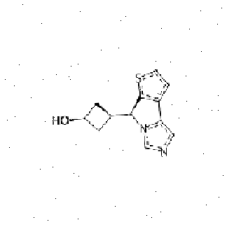 O[C@H]1C[C@@H]([C@H]2c3sccc3-c3cncn32)C1